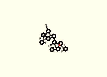 N#Cc1ccc(-n2c3cccc(-c4cc(C#N)c(-n5c6ccccc6c6ccc7c(c8ccccc8n7-c7c(F)cccc7F)c65)c(C#N)c4)c3c3ccc4c(c5ccccc5n4-c4c(F)cccc4F)c32)c(C#N)c1